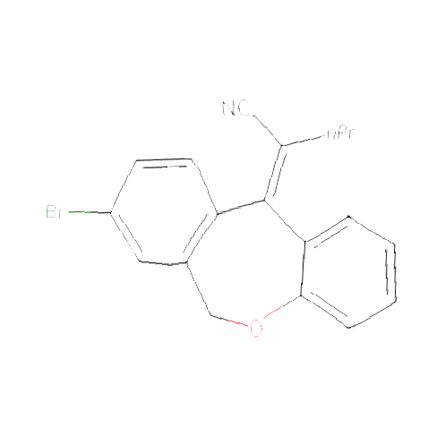 CCCC(C#N)=C1c2ccc(Br)cc2COc2ccccc21